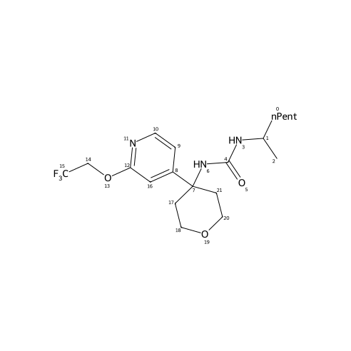 CCCCCC(C)NC(=O)NC1(c2ccnc(OCC(F)(F)F)c2)CCOCC1